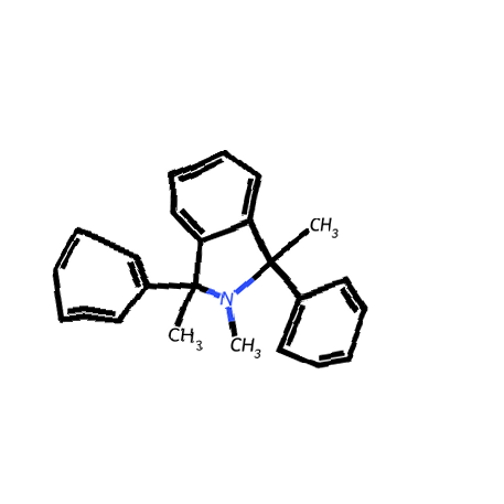 CN1C(C)(c2ccccc2)c2ccccc2C1(C)c1ccccc1